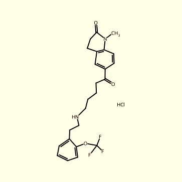 CN1C(=O)CCc2cc(C(=O)CCCCNCCc3ccccc3OC(F)(F)F)ccc21.Cl